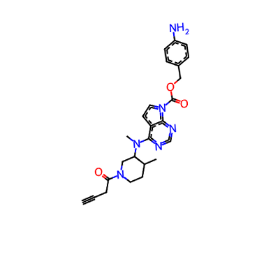 C#CCC(=O)N1CCC(C)C(N(C)c2ncnc3c2ccn3C(=O)OCc2ccc(N)cc2)C1